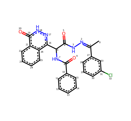 CC(=NNC(=O)C(NC(=O)c1ccccc1)c1n[nH]c(=O)c2ccccc12)c1cccc(Cl)c1